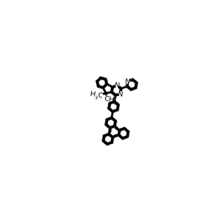 CC1(C)c2ccccc2-c2nc(-c3ccccn3)nc(-c3ccc(-c4ccc5c6ccccc6c6ccccc6c5c4)cc3)c21